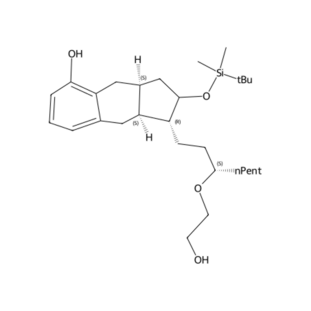 CCCCC[C@@H](CC[C@H]1C(O[Si](C)(C)C(C)(C)C)C[C@@H]2Cc3c(O)cccc3C[C@@H]21)OCCO